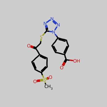 CS(=O)(=O)c1ccc(C(=O)CSc2nnnn2-c2ccc(C(=O)O)cc2)cc1